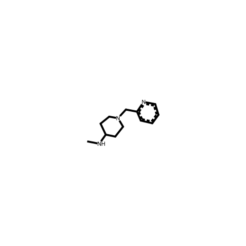 CNC1CCN(Cc2ccccn2)CC1